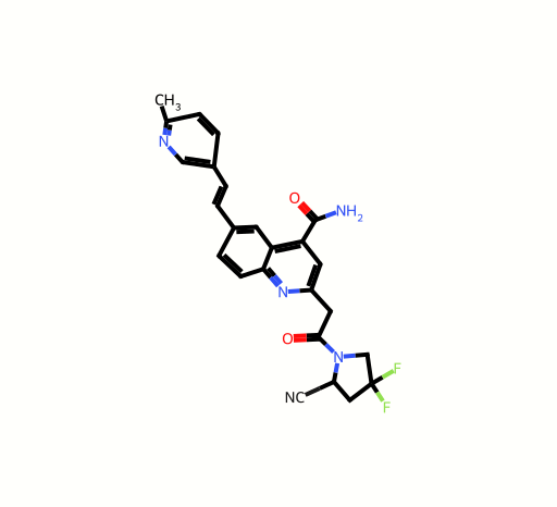 Cc1ccc(C=Cc2ccc3nc(CC(=O)N4CC(F)(F)CC4C#N)cc(C(N)=O)c3c2)cn1